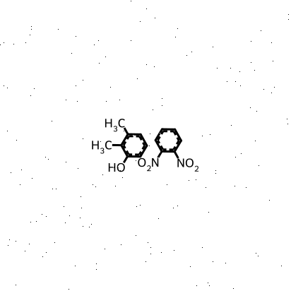 Cc1cccc(O)c1C.O=[N+]([O-])c1ccccc1[N+](=O)[O-]